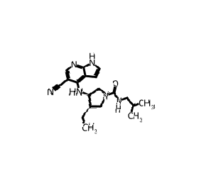 CC[C@@H]1CN(C(=O)NCC(C)C)C[C@@H]1Nc1c(C#N)cnc2[nH]ccc12